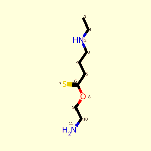 CCNCCCC(=S)OCCN